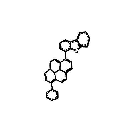 C1=CC2=C(c3ccccc3)C=CC3=CC=C4C(c5cccc6c5sc5ccccc56)=CC=C1C4C32